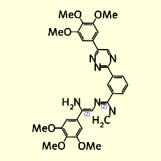 C=N/C(=N\C=C(/N)c1cc(OC)c(OC)c(OC)c1)c1cccc(-c2ncc(-c3cc(OC)c(OC)c(OC)c3)nn2)c1